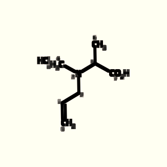 C=CCN(C)C(C)C(=O)O.Cl